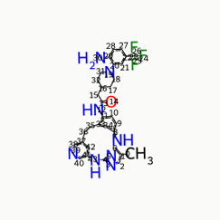 Cc1cnc2nc1Nc1ccc(NC(=O)CC3CCN(c4cc(C(F)(F)F)ccc4N)CC3)c(c1)CCc1cncc(c1)N2